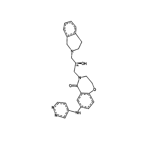 O=C1c2cc(Nc3ccnnc3)ccc2OCCN1C[C@H](O)CN1CCc2ccccc2C1